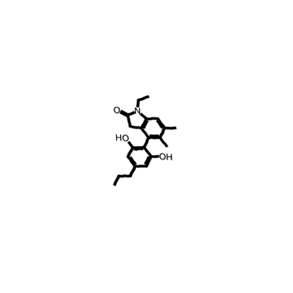 CCCc1cc(O)c(-c2c(C)c(C)cc3c2CC(=O)N3CC)c(O)c1